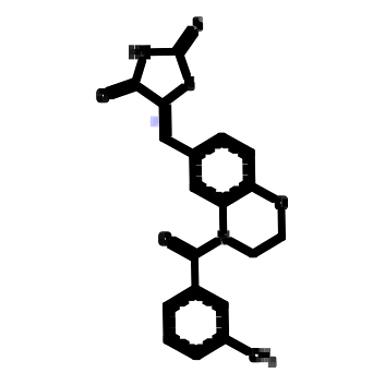 Cc1cccc(C(=O)N2CCOc3ccc(/C=C4\SC(=S)NC4=O)cc32)c1